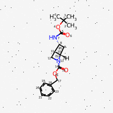 CC(C)(C)OC(=O)N[C@@H]1C[C@H]2C1CN2C(=O)OCc1ccccc1